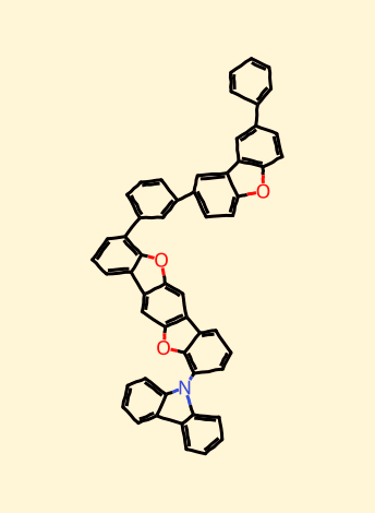 c1ccc(-c2ccc3oc4ccc(-c5cccc(-c6cccc7c6oc6cc8c(cc67)oc6c(-n7c9ccccc9c9ccccc97)cccc68)c5)cc4c3c2)cc1